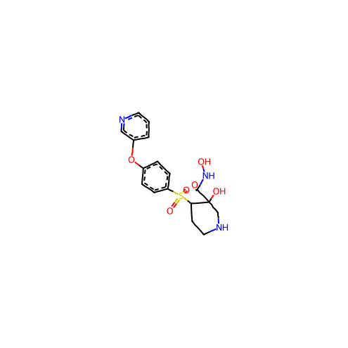 O=C(NO)C1(O)CNCCC1S(=O)(=O)c1ccc(Oc2cccnc2)cc1